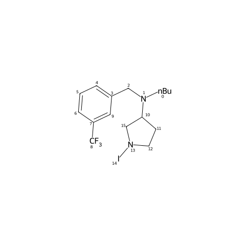 CCCCN(Cc1cccc(C(F)(F)F)c1)C1CCN(I)C1